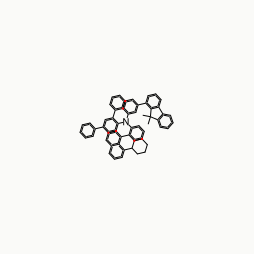 CC1(C)c2ccccc2-c2cccc(-c3cccc(N(c4ccc(-c5ccccc5)cc4-c4ccccc4)c4ccccc4-c4cccc5cccc(C6CCCCC6)c45)c3)c21